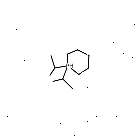 CC(C)[PH]1(C(C)C)CCCCC1